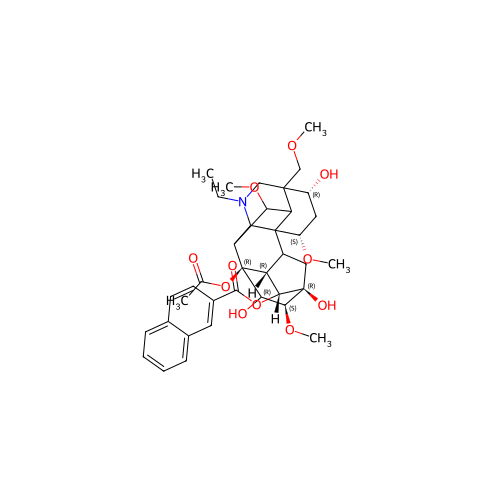 CCN1CC2(COC)C3C(OC)C4C1C3(C1C[C@@]3(O)[C@H](OC(=O)c5ccc6ccccc6c5)[C@@H]1[C@]4(OC(C)=O)C(O)[C@@H]3OC)[C@@H](OC)C[C@H]2O